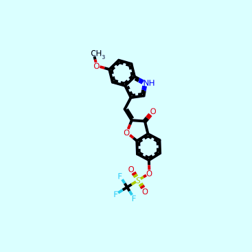 COc1ccc2[nH]cc(/C=C3/Oc4cc(OS(=O)(=O)C(F)(F)F)ccc4C3=O)c2c1